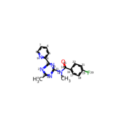 Cc1nc(-c2ccccn2)nc(N(C)C(=O)c2ccc(F)cc2)n1